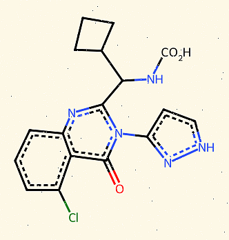 O=C(O)NC(c1nc2cccc(Cl)c2c(=O)n1-c1cc[nH]n1)C1CCC1